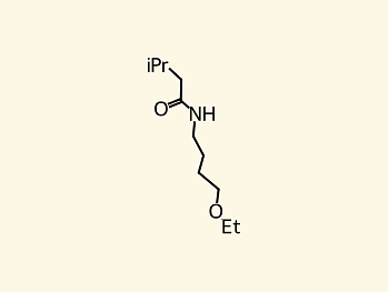 CCOCCCCNC(=O)CC(C)C